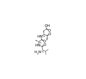 CC(C)[C@H](N)C(=O)N[C@@H](C)C(=O)N[C@@H](CC(=O)O)C(=O)F